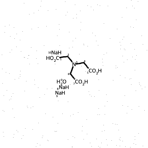 O.O=C(O)CN(CC(=O)O)CC(=O)O.[NaH].[NaH].[NaH]